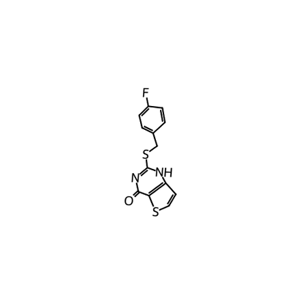 O=c1nc(SCc2ccc(F)cc2)[nH]c2ccsc12